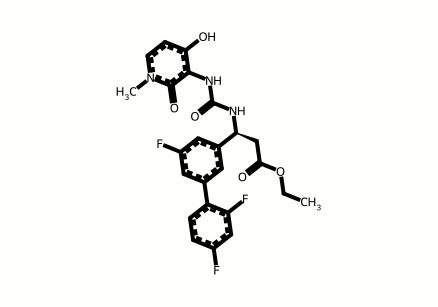 CCOC(=O)C[C@H](NC(=O)Nc1c(O)ccn(C)c1=O)c1cc(F)cc(-c2ccc(F)cc2F)c1